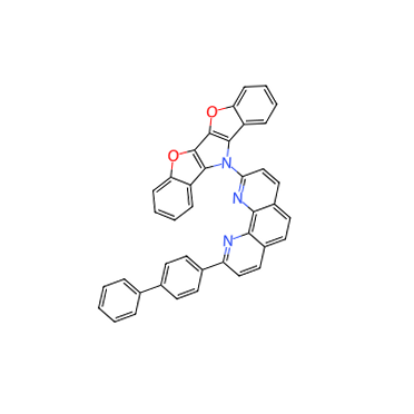 c1ccc(-c2ccc(-c3ccc4ccc5ccc(-n6c7c8ccccc8oc7c7oc8ccccc8c76)nc5c4n3)cc2)cc1